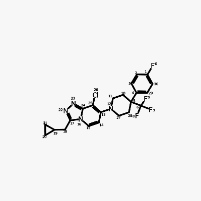 Fc1ccc(C2(C(F)(F)F)CCN(c3ccn4c(CC5CC5)nnc4c3Cl)CC2)cc1